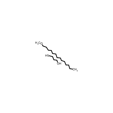 CCCCCCCCCCCCCCOC.OCCCS